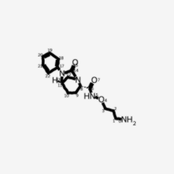 NCCCONC(=O)[C@@H]1CC[C@H]2CN1C(=O)N2c1ccccc1